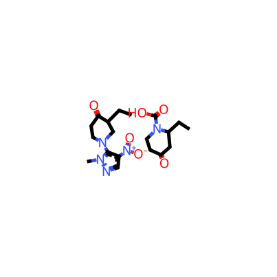 CCC1CC(=O)CCN1C(=O)O.CCC1CN(c2c([N+](=O)[O-])cnn2C)CCC1=O